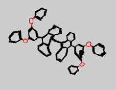 c1ccc(Oc2cc(Oc3ccccc3)cc(-c3c4ccccc4c(-c4c5ccccc5c(-c5cc(Oc6ccccc6)cc(Oc6ccccc6)c5)c5ccccc45)c4ccccc34)c2)cc1